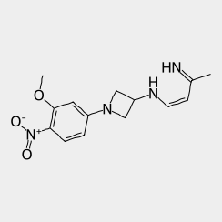 COc1cc(N2CC(N/C=C\C(C)=N)C2)ccc1[N+](=O)[O-]